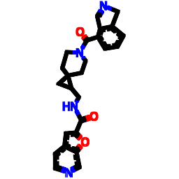 O=C(NCC1CC12CCN(C(=O)c1cccc3c1C=NC3)CC2)c1cc2ccncc2o1